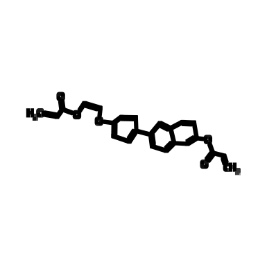 C=CC(=O)O/C=C\Oc1ccc(-c2ccc3cc(OC(=O)C=C)ccc3c2)cc1